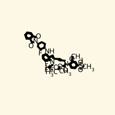 COc1cc(S(C)(=O)=O)ccc1N(CC#Cc1cc2c(NC3CCC(N4C(=O)c5ccccc5C4=O)CC3F)cccc2n1CC(F)(F)F)C(=O)OC(C)(C)C